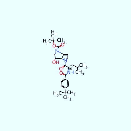 CC(C)C[C@H](NC(=O)c1ccc(C(C)(C)C)cc1)C(=O)N1CC=C2C1C(O)CN2C(=O)OC(C)(C)C